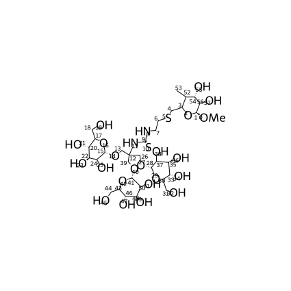 CO[C@H]1OC(CSCCNC(=S)NC(CO[C@H]2OC(CO)[C@@H](O)[C@H](O)C2O)(CO[C@H]2OC(CO)[C@@H](O)[C@H](O)C2O)CO[C@H]2OC(CO)[C@@H](O)[C@H](O)C2O)C(C)[C@H](O)C1O